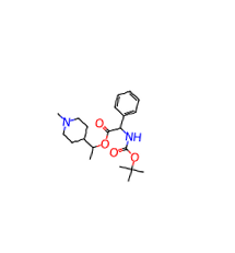 CC(OC(=O)C(NC(=O)OC(C)(C)C)c1ccccc1)C1CCN(C)CC1